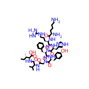 CC[C@H](C)[C@H](NC(=O)[C@@H](NC(=O)CNC(=O)[C@@H](Cc1ccc(O)cc1)NC(=O)[C@H](Cc1ccccc1)NC(=O)[C@H](Cc1c[nH]cn1)NC(=O)[C@@H](CCCNC(=N)N)NC(=O)[C@@H](N)CCCCN)C(C)C)C(=O)O